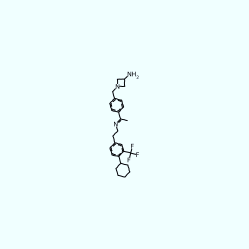 C/C(=N\CCc1ccc(C2CCCCC2)c(C(F)(F)F)c1)c1ccc(CN2CC(N)C2)cc1